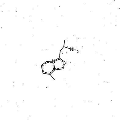 Cc1cccn2c(CC(C)N)ncc12